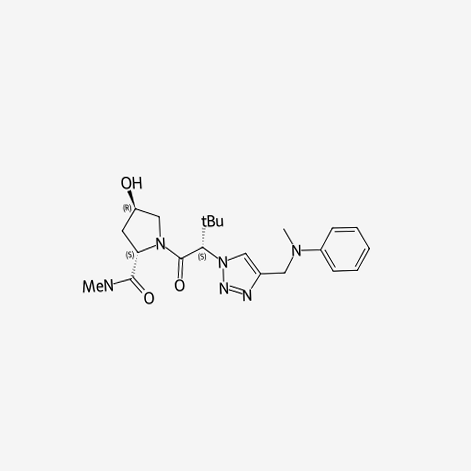 CNC(=O)[C@@H]1C[C@@H](O)CN1C(=O)[C@@H](n1cc(CN(C)c2ccccc2)nn1)C(C)(C)C